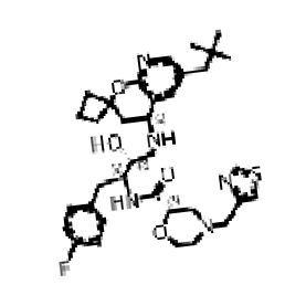 CC(C)(C)Cc1cnc2c(c1)[C@@H](NC[C@@H](O)[C@H](Cc1ccc(F)cc1)NC(=O)[C@@H]1CN(Cc3cscn3)CCO1)CC1(CCC1)O2